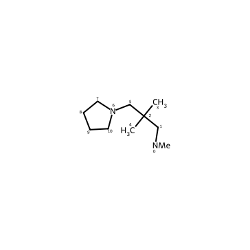 CNCC(C)(C)CN1CCCC1